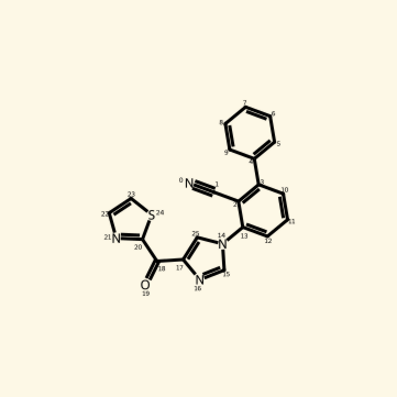 N#Cc1c(-c2ccccc2)cccc1-n1cnc(C(=O)c2nccs2)c1